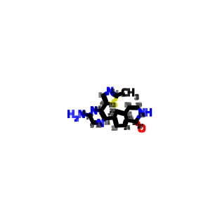 Cc1ncc(-c2nc(N)cnc2-c2ccc3c(=O)[nH]ccc3c2)s1